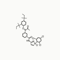 CCC(C)(C)c1ccc(ON(C(C)=O)c2cccc(C(=O)NC3=N[N+]([O-])(c4c(Cl)cc(Cl)cc4Cl)C=C3)c2)c(C(C)(C)CC)c1